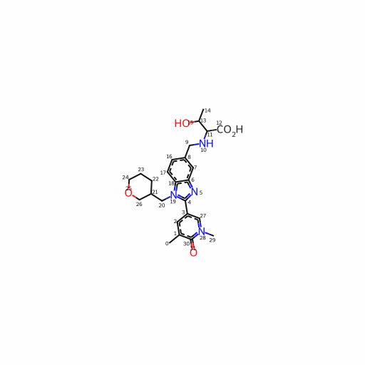 Cc1cc(-c2nc3cc(CNC(C(=O)O)C(C)O)ccc3n2CC2CCCOC2)cn(C)c1=O